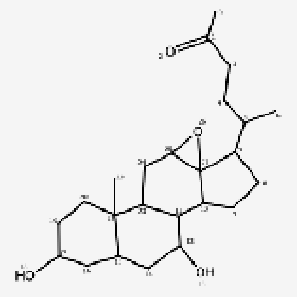 CC(=O)CCC(C)C1CCC2C3C(O)CC4CC(O)CCC4(C)C3CC3OC312